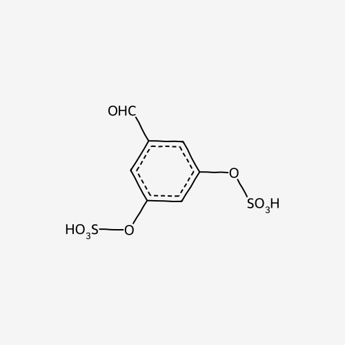 O=Cc1cc(OS(=O)(=O)O)cc(OS(=O)(=O)O)c1